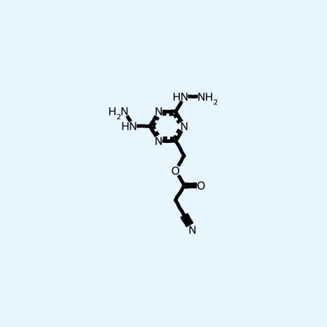 N#CCC(=O)OCc1nc(NN)nc(NN)n1